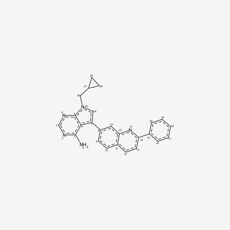 Nc1ncnc2c1c(-c1ccc3ccc(-c4ccccc4)nc3c1)cn2CC1CC1